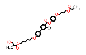 C=CC(=O)OCCCCOc1ccc(OC(=O)c2ccc(-c3ccc(OCCCCCCOC(=O)C(=C)CO)cc3)cc2CC)cc1